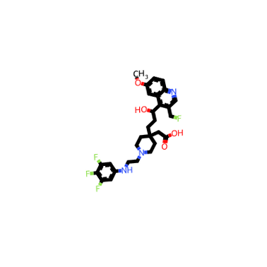 COc1ccc2ncc(CF)c(C(O)CCC3(CC(=O)O)CCN(CCNc4cc(F)c(F)c(F)c4)CC3)c2c1